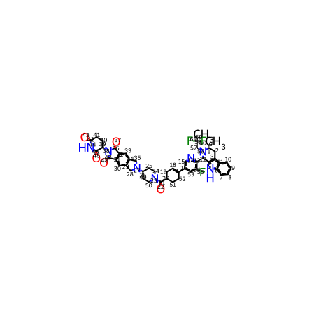 C[C@@H]1Cc2c([nH]c3ccccc23)[C@@H](c2ncc(C3=CCC(C(=O)N4CCC(N5Cc6cc7c(cc6C5)C(=O)N(C5CCC(=O)NC5=O)C7=O)CC4)CC3)cc2F)N1CC(C)(F)F